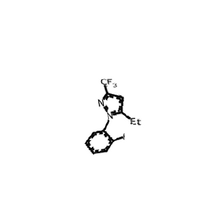 CCc1cc(C(F)(F)F)nn1-c1ccccc1I